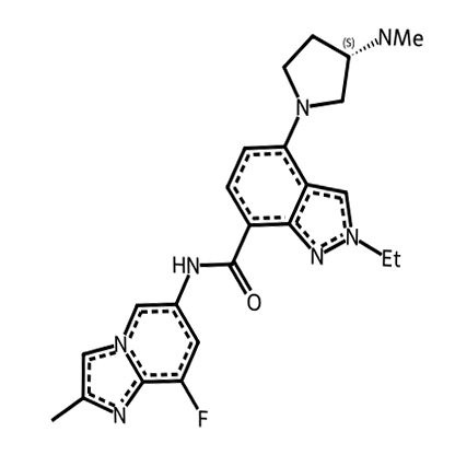 CCn1cc2c(N3CC[C@H](NC)C3)ccc(C(=O)Nc3cc(F)c4nc(C)cn4c3)c2n1